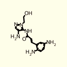 Nc1ccc(N)c(C=CC(=O)Nc2c(N)cnn2CCO)c1